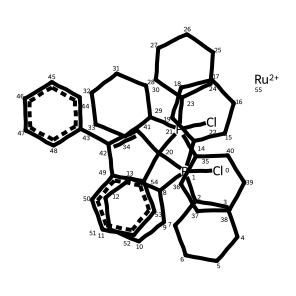 ClP(C1CCCCC1)(C1CCCCC1)(C1CCCCC1)C1(P(Cl)(C2CCCCC2)(C2CCCCC2)C2CCCCC2)C=C(c2ccccc2)c2ccccc21.[Ru+2]